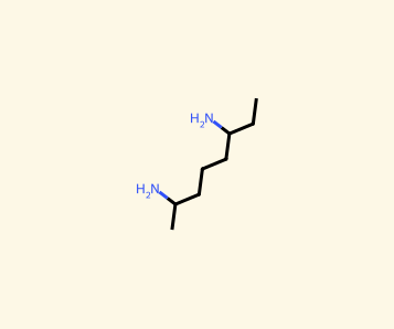 CCC(N)CCCC(C)N